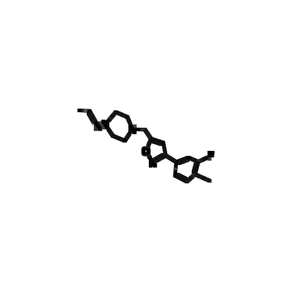 C/C=N/N1CCN(Cc2cc(-c3ccc(C)c(F)c3)no2)CC1